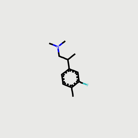 Cc1ccc(C(C)CN(C)C)cc1F